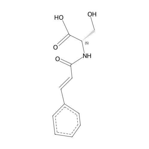 O=C(C=Cc1ccccc1)N[C@@H](CO)C(=O)O